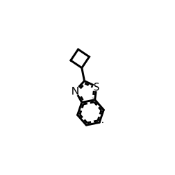 [c]1ccc2nc(C3CCC3)sc2c1